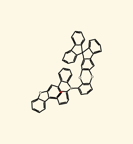 c1ccc(N(c2ccccc2-c2ccc3c(c2)oc2ccccc23)c2cccc3c2Oc2cc4c(cc2O3)-c2ccccc2C42c3ccccc3-c3ccccc32)cc1